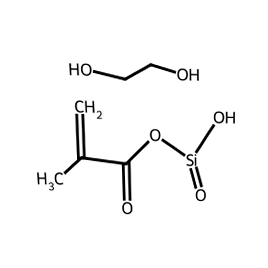 C=C(C)C(=O)O[Si](=O)O.OCCO